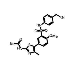 CCC(=O)Nc1nc(C)c(-c2ccc(OC)c(S(=O)(=O)Nc3ccc(CC#N)cc3)c2)s1